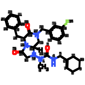 CN(C(=O)NCC1=CCCCC1)N1CC(=O)N2[C@@H](Cc3ccccc3)C(=O)N(Cc3cccc(F)c3)C[C@@H]21